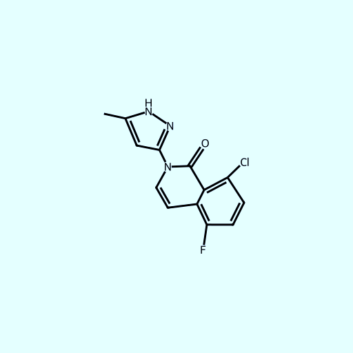 Cc1cc(-n2ccc3c(F)ccc(Cl)c3c2=O)n[nH]1